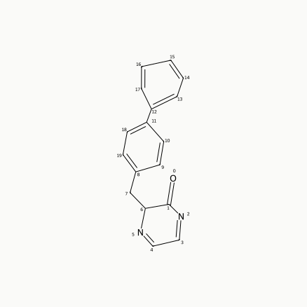 O=C1N=CC=NC1Cc1ccc(-c2ccccc2)cc1